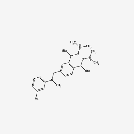 CC(=O)c1cccc(N(C)Cc2ccc(C(O[SiH](C)C)C(C)(C)C)c(C(O[SiH](C)C)C(C)(C)C)c2)c1